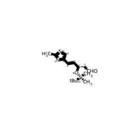 Cc1nc(/C=C/[C@H](CC=O)O[Si](C)(C)C(C)(C)C)cs1